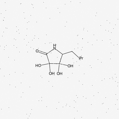 CC(C)CC1NC(=O)C(O)(O)C1(O)O